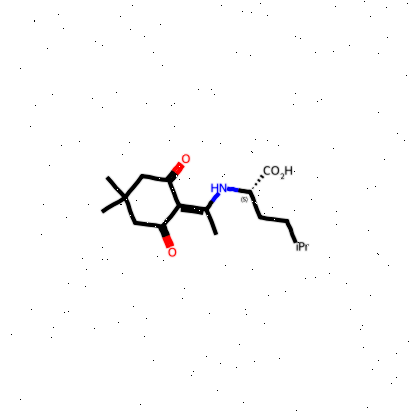 CC(N[C@@H](CCC(C)C)C(=O)O)=C1C(=O)CC(C)(C)CC1=O